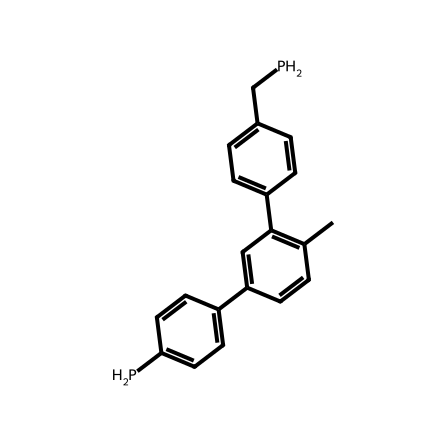 Cc1ccc(-c2ccc(P)cc2)cc1-c1ccc(CP)cc1